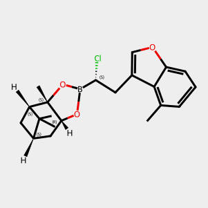 Cc1cccc2occ(C[C@@H](Cl)B3O[C@@H]4C[C@@H]5C[C@@H](C5(C)C)[C@]4(C)O3)c12